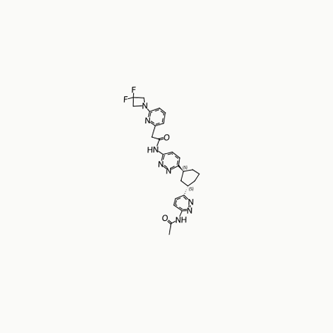 CC(=O)Nc1ccc([C@H]2CCC[C@H](c3ccc(NC(=O)Cc4cccc(N5CC(F)(F)C5)n4)nn3)C2)nn1